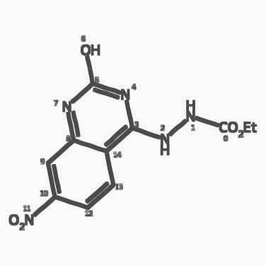 CCOC(=O)NNc1nc(O)nc2cc([N+](=O)[O-])ccc12